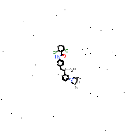 CCC(CC)CN(CC(C)C)c1cccc(C(Cc2ccc(NC(=O)c3c(Cl)cccc3Cl)cc2)C(=O)O)c1